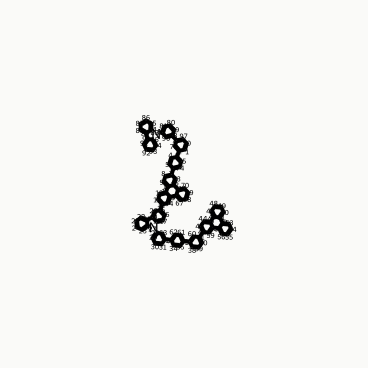 c1cc(-c2ccc(-c3ccc4c5ccc(-c6ccc7c(c6)c6ccccc6n7-c6cccc(-c7ccc(-c8cccc(-c9ccc%10c%11ccccc%11c%11ccccc%11c%10c9)c8)cc7)c6)cc5c5ccccc5c4c3)cc2)cc(-c2cccc(-n3c4ccccc4c4ccccc43)c2)c1